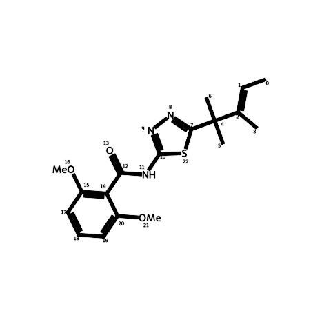 C/C=C(\C)C(C)(C)c1nnc(NC(=O)c2c(OC)cccc2OC)s1